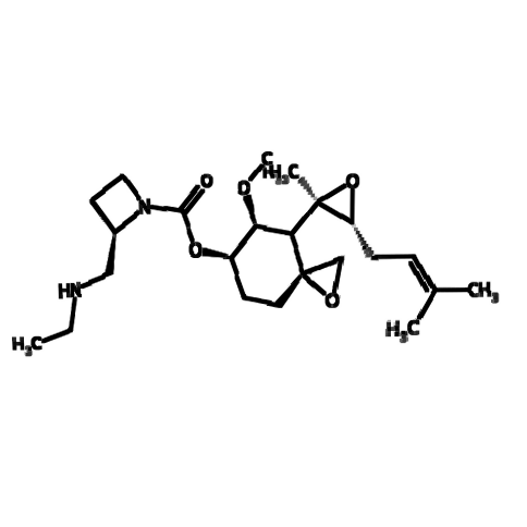 CCNC[C@H]1CCN1C(=O)O[C@@H]1CC[C@]2(CO2)C([C@@]2(C)O[C@@H]2CC=C(C)C)[C@@H]1OC